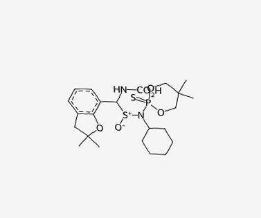 CC1(C)COP(=S)(N(C2CCCCC2)[S+]([O-])C(NC(=O)O)c2cccc3c2OC(C)(C)C3)OC1